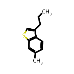 CCCc1csc2cc(C)ccc12